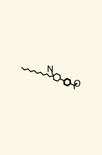 CCCCCCCCCCC1(C#N)CCC(c2ccc(C(C)=O)cc2)CC1